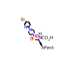 CCCCCC#CC(CS(=O)(=O)N1CCN(c2ccc(Br)cn2)CC1)NC(=O)O